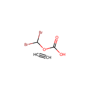 C#C.O=C(O)OC(Br)Br